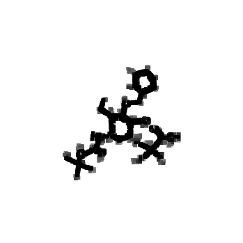 CCc1c(OCc2ccccc2)c(=O)ccn1NC(=O)OC(C)(C)C.O=C(O)C(F)(F)F